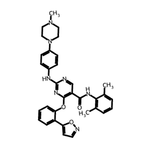 Cc1cccc(C)c1NC(=O)c1cnc(Nc2ccc(N3CCN(C)CC3)cc2)nc1Oc1ccccc1-c1ccno1